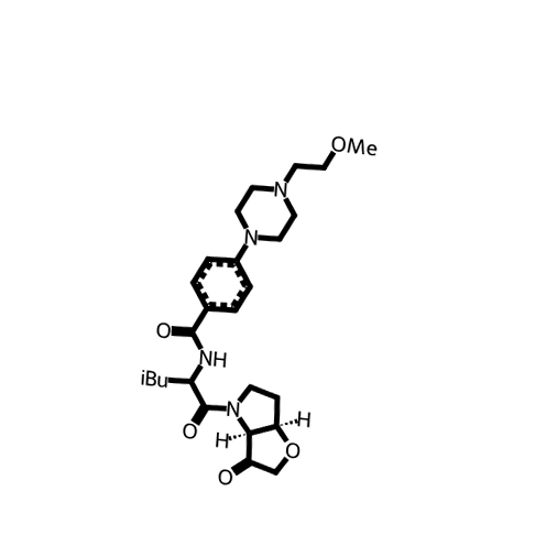 CCC(C)C(NC(=O)c1ccc(N2CCN(CCOC)CC2)cc1)C(=O)N1CC[C@H]2OCC(=O)[C@H]21